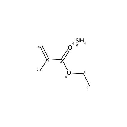 C=C(C)C(=O)OCC.[SiH4]